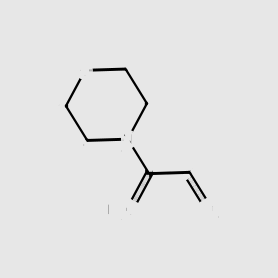 C=C(C=O)N1CCOCC1